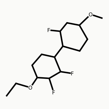 CCOC1CCC(C2CCC(OC)CC2F)C(F)C1F